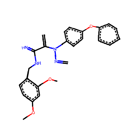 C=NN(C(=C)C(=N)NCc1ccc(OC)cc1OC)c1ccc(Oc2ccccc2)cc1